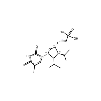 Cc1cn([C@@H]2O[C@H](/C=C/P(=O)(O)O)[C@@H](C(C)C)C2C(C)C)c(=O)[nH]c1=O